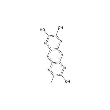 Cc1nc2cc3nc(O)c(O)nc3cc2nc1O